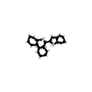 c1ccc2sc(-c3nc4ccccc4c4ccccc34)cc2c1